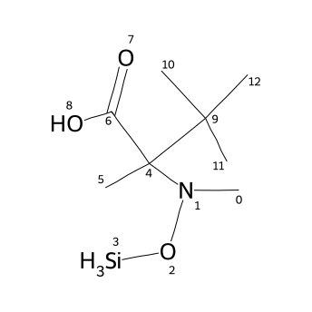 CN(O[SiH3])C(C)(C(=O)O)C(C)(C)C